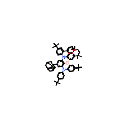 CC(C)(C)c1ccc(N2c3ccc(C(C)(C)C)cc3B3c4cc5c(cc4N(c4ccc(C(C)(C)C)cc4-c4ccccc4)c4cc(C67CC8CC(CC(C8)C6)C7)cc2c43)C(C)(C)CCC5(C)C)cc1